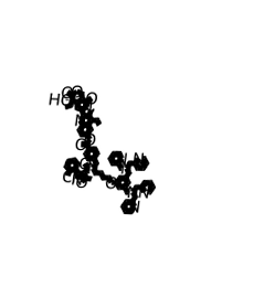 CCc1c2c(nc3ccc(OC(=O)c4ccc(CN(CCCCOc5cc(CN(Cc6ccccn6)Cc6ccccn6)cc(CN(Cc6ccccn6)Cc6ccccn6)c5)C(=O)c5c(-c6ccccc6Cl)noc5C)cc4)cc13)-c1cc3c(c(=O)n1C2)COC(=O)[C@]3(O)CC